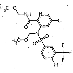 COCNC(=O)c1ncc(Cl)cc1N(COC)S(=O)(=O)c1ccc(Cl)c(C(F)(F)F)c1